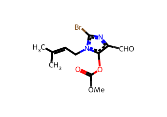 COC(=O)Oc1c(C=O)nc(Br)n1CC=C(C)C